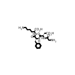 NCCCC[C@H](NC(=O)[C@@H](Cc1ccccc1)NC(=O)[C@H](CC(=O)O)NC(=O)CN)C(=O)O